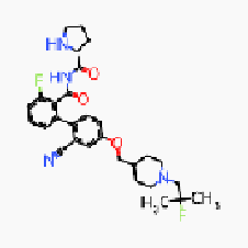 CC(C)(F)CN1CCC(COc2ccc(-c3cccc(F)c3C(=O)NC(=O)[C@@H]3CCCN3)c(C#N)c2)CC1